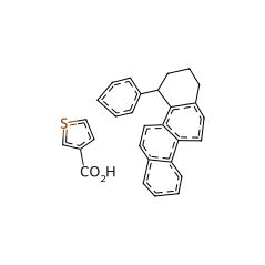 O=C(O)c1ccsc1.c1ccc(C2CCCc3ccc4c(ccc5ccccc54)c32)cc1